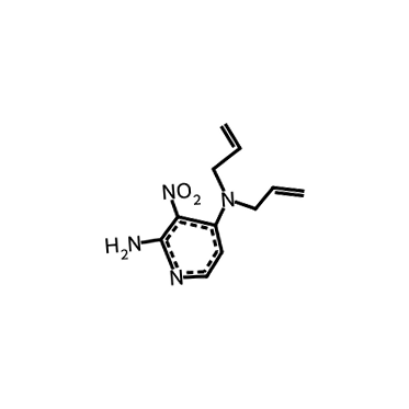 C=CCN(CC=C)c1ccnc(N)c1[N+](=O)[O-]